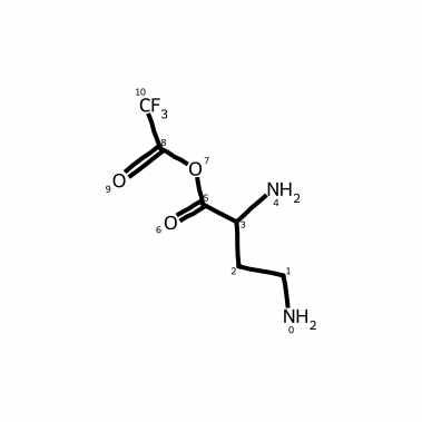 NCCC(N)C(=O)OC(=O)C(F)(F)F